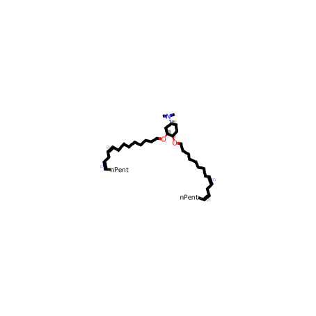 CCCCC/C=C\C/C=C\CCCCCCCCO[C@H]1C[C@H](N(C)C)CC[C@H]1OCCCCCCCC/C=C\C/C=C\CCCCC